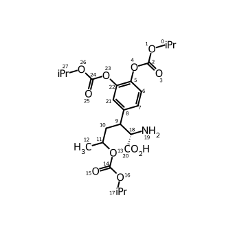 CC(C)OC(=O)Oc1ccc(C(CC(C)OC(=O)OC(C)C)[C@H](N)C(=O)O)cc1OC(=O)OC(C)C